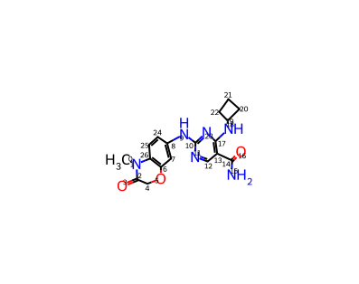 CN1C(=O)COc2cc(Nc3ncc(C(N)=O)c(NC4CCC4)n3)ccc21